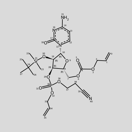 C=CCOC(=O)OC[C@H]1O[C@@H](n2ccc(N)nc2=O)[C@H](O[Si](C)(C)C(C)(C)C)[C@@H]1OP(=O)(OCC=C)OCCC#N